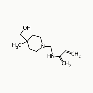 C=CC(=C)NCN1CCC(C)(CO)CC1